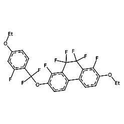 CCOc1ccc(C(F)(F)Oc2ccc3c(c2F)C(F)(F)C(F)(F)c2c-3ccc(OCC)c2F)c(F)c1